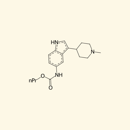 CCCOC(=O)Nc1ccc2[nH]cc(C3CCN(C)CC3)c2c1